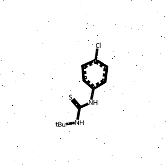 CC(C)(C)NC(=S)Nc1ccc(Cl)cc1